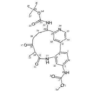 COC(=O)Nc1ccc2c(c1)NC(=O)C(C)C(=O)CCC(NC(=O)OC(C)(C)C)c1cc-2ccn1